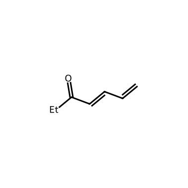 C=CC=CC(=O)CC